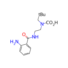 CC(C)(C)CN(CCNC(=O)c1ccccc1N)C(=O)O